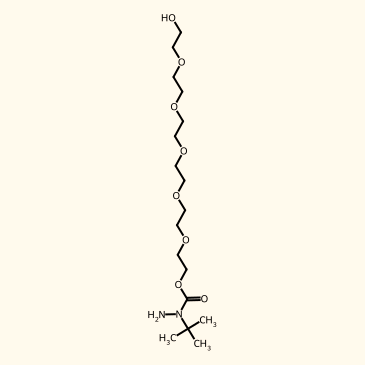 CC(C)(C)N(N)C(=O)OCCOCCOCCOCCOCCOCCO